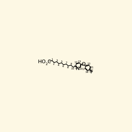 O=C(O)CCCCCCCCCCc1ccc(Oc2ccc(F)cc2)cn1